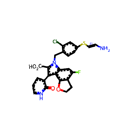 N/C=C/Sc1ccc(Cn2c(C(=O)O)c(-c3ccc[nH]c3=O)c3c4c(c(F)cc32)CCO4)c(Cl)c1